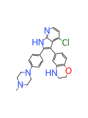 CN1CCN(c2ccc(-c3[nH]c4nccc(Cl)c4c3-c3ccc4c(c3)NCCO4)cc2)CC1